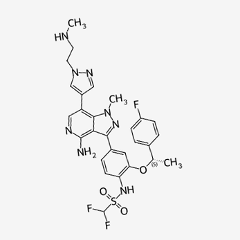 CNCCn1cc(-c2cnc(N)c3c(-c4ccc(NS(=O)(=O)C(F)F)c(O[C@@H](C)c5ccc(F)cc5)c4)nn(C)c23)cn1